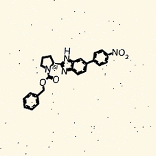 O=C(OCc1ccccc1)N1CCC[C@H]1c1nc2ccc(-c3ccc([N+](=O)[O-])cc3)cc2[nH]1